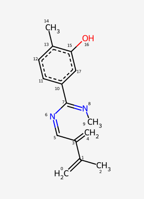 C=C(C)C(=C)/C=N\C(=N/C)c1ccc(C)c(O)c1